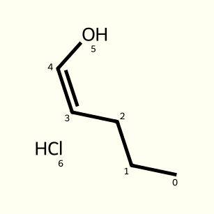 CCC/C=C\O.Cl